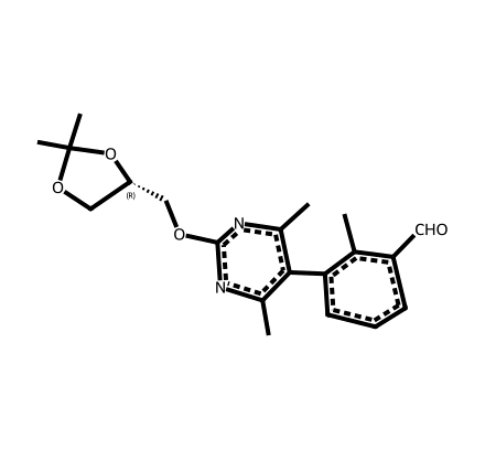 Cc1nc(OC[C@@H]2COC(C)(C)O2)nc(C)c1-c1cccc(C=O)c1C